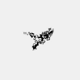 CN1CCN(C(=O)OCC2=C(C(=O)ONC(=O)Cc3ccco3)N3C(=O)C[C@@H]3SC2)CC1.O=C(O)C(F)(F)F